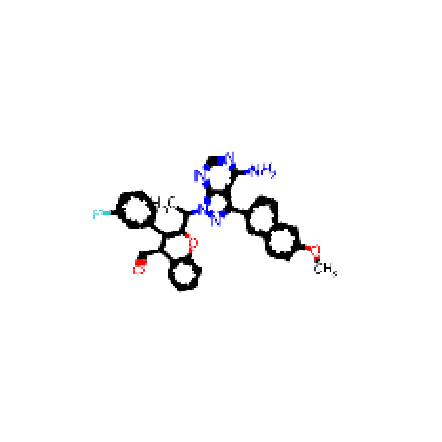 COc1ccc2cc(-c3nn(C(C)C4=C(c5cccc(F)c5)C(C=O)c5ccccc5O4)c4ncnc(N)c34)ccc2c1